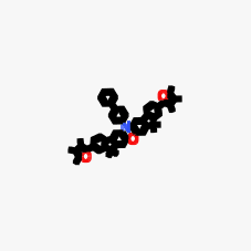 Cc1oc(-c2ccc3c(c2)C(C)(C)c2cc4c(cc2-3)N(c2ccc(-c3ccccc3)cc2)c2cc3c(cc2O4)C(C)(C)c2cc(-c4oc(C)c(C)c4C)ccc2-3)c(C)c1C